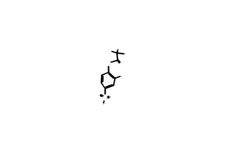 CCCS(=O)(=O)c1ccc(NC(=O)C(C)(O)C(F)(F)F)c(Cl)c1